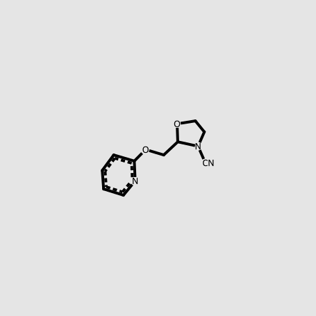 N#CN1CCOC1COc1ccccn1